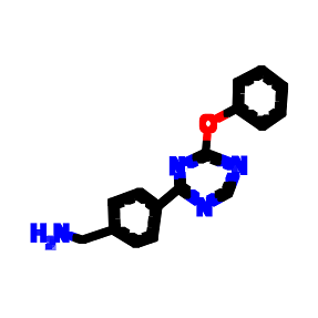 NCc1ccc(-c2ncnc(Oc3ccccc3)n2)cc1